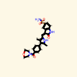 Cc1[nH]c(/C=C2\C(=O)Nc3ccc(S(N)(=O)=O)cc32)c(C)c1-c1ccc(C(=O)N2CCOCC2)cc1